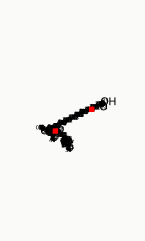 CCOc1cc(CCCCCCCCCCCCCCCCCC(=O)O)c(C(=O)CCc2ccc(OC)cc2)c(OC)c1